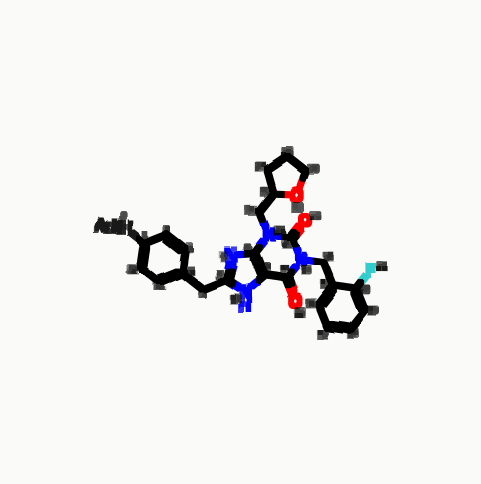 CC(=O)Nc1ccc(Cc2nc3c([nH]2)c(=O)n(Cc2ccccc2F)c(=O)n3CC2CCCO2)cc1